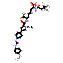 COc1ccc(NC(=O)Nc2ccc(C3CC(C(=O)NC(CC=CCC(NC(=O)CC(C)(C)C)C(=O)O)C(=O)O)N(C)C3)cc2)cc1